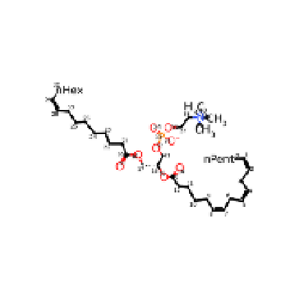 CCCCC/C=C\C/C=C\C/C=C\CCCCC(=O)O[C@H](COC(=O)CCCCCCC/C=C\CCCCCC)COP(=O)([O-])OCC[N+](C)(C)C